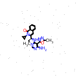 CC[C@H](Nc1ncnc(N)c1-c1nnc(C)o1)c1cc2ccccc2c(=O)n1C1CC1